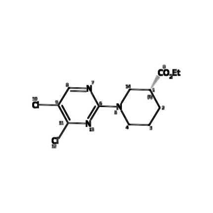 CCOC(=O)[C@@H]1CCCN(c2ncc(Cl)c(Cl)n2)C1